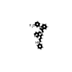 FC(F)(F)c1cccc(-n2cc(CN(CCCCCNC3CCCCC3)Cc3ccncc3)c3ccccc32)c1